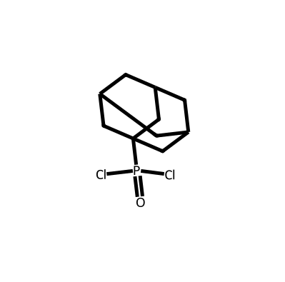 O=P(Cl)(Cl)C12CC3CC(CC(C3)C1)C2